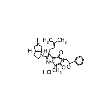 CC(C)=CCn1c(N2CC[C@H]3CNC[C@H]32)nc2c1c(=O)n(CC(=O)c1ccccc1)c(=O)n2C.Cl